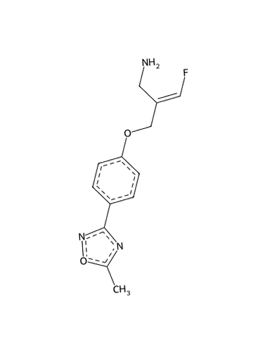 Cc1nc(-c2ccc(OC/C(=C/F)CN)cc2)no1